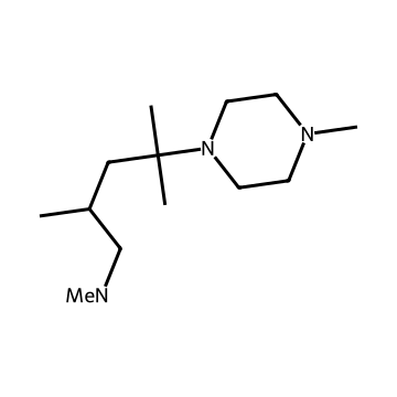 CNCC(C)CC(C)(C)N1CCN(C)CC1